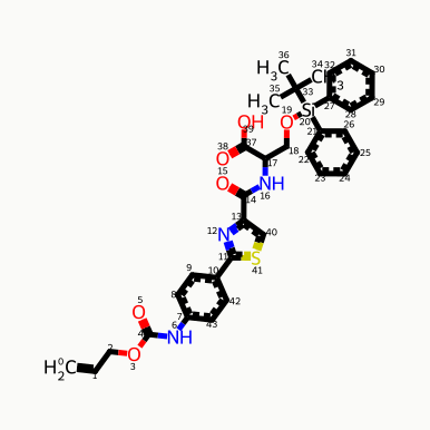 C=CCOC(=O)Nc1ccc(-c2nc(C(=O)NC(CO[Si](c3ccccc3)(c3ccccc3)C(C)(C)C)C(=O)O)cs2)cc1